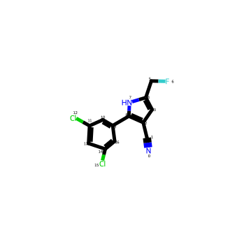 N#Cc1cc(CF)[nH]c1-c1cc(Cl)cc(Cl)c1